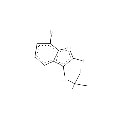 FC(F)(F)Sc1c(I)oc2c(Br)cccc12